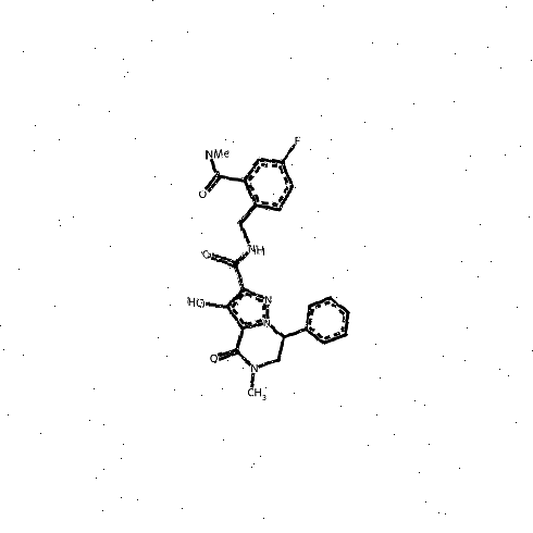 CNC(=O)c1cc(F)ccc1CNC(=O)c1nn2c(c1O)C(=O)N(C)CC2c1ccccc1